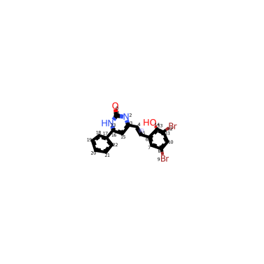 O=c1nc(/C=C/c2cc(Br)cc(Br)c2O)cc(-c2ccccc2)[nH]1